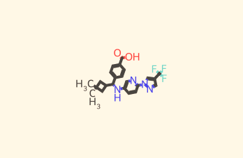 CC1(C)CC(C(Nc2ccc(-n3cc(C(F)(F)F)cn3)nc2)c2ccc(C(=O)O)cc2)C1